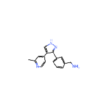 Cc1cc(-c2c[nH]nc2-c2cccc(CN)c2)ccn1